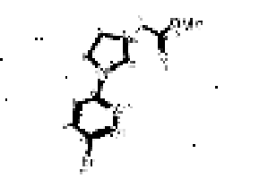 COC(=O)C[C@H]1CCN(c2ccc(Br)cn2)C1